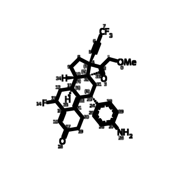 COCC(=O)[C@@]1(C#CC(F)(F)F)CC[C@H]2[C@@H]3CC(F)C4=CC(=O)CCC4=C3[C@@H](c3ccc(N)cc3)C[C@@]21C